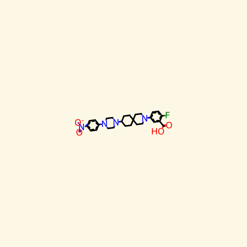 O=C(O)c1cc(N2CCC3(CCC(N4CCN(c5ccc([N+](=O)[O-])cc5)CC4)CC3)CC2)ccc1F